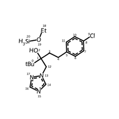 CC(C)(C)C(O)(CCc1ccc(Cl)cc1)Cn1cncn1.CCO[SiH3]